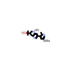 CCCN1CC(C(C)(C)O)Cc2ncc(-c3cc(NC)cnc3C)cc21